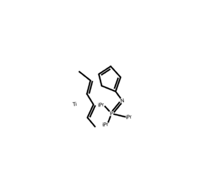 CC(C)P(=NC1=CC=CC1)(C(C)C)C(C)C.CC=CC=CC.[Ti]